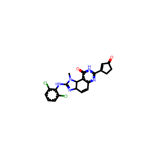 CN1C(Nc2c(Cl)cccc2Cl)=NC2C=Cc3nc(C4=CC(=O)CC4)[nH]c(=O)c3C21